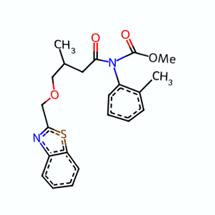 COC(=O)N(C(=O)CC(C)COCc1nc2ccccc2s1)c1ccccc1C